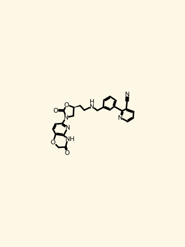 N#Cc1cccnc1-c1cccc(CNCC[C@H]2CN(c3ccc4c(n3)NC(=O)CO4)C(=O)O2)c1